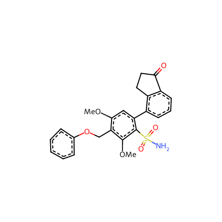 COc1cc(-c2cccc3c2CCC3=O)c(S(N)(=O)=O)c(OC)c1COc1ccccc1